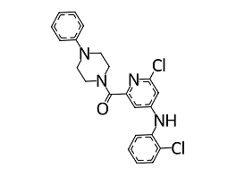 O=C(c1cc(Nc2ccccc2Cl)cc(Cl)n1)N1CCN(c2ccccc2)CC1